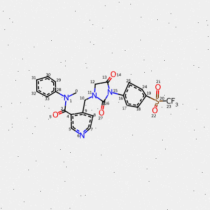 CN(C(=O)c1cnccc1CN1CC(=O)N(c2ccc(S(=O)(=O)C(F)(F)F)cc2)C1=O)c1ccccc1